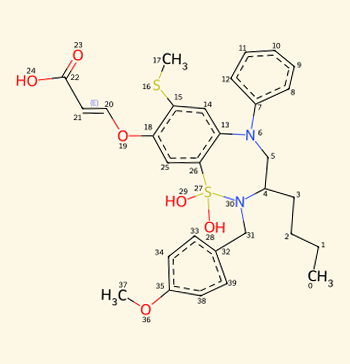 CCCCC1CN(c2ccccc2)c2cc(SC)c(O/C=C/C(=O)O)cc2S(O)(O)N1Cc1ccc(OC)cc1